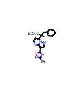 CCOC(=O)C(C)(Cc1ccccc1)c1ccnc2c(-c3nc(C(C)C)no3)cnn12